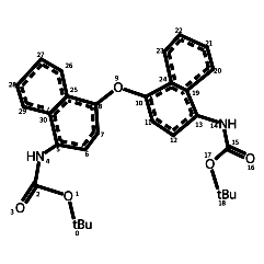 CC(C)(C)OC(=O)Nc1ccc(Oc2ccc(NC(=O)OC(C)(C)C)c3ccccc23)c2ccccc12